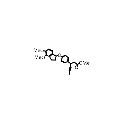 CC#CC(CC(=O)OC)c1ccc(OC2CCc3c2ccc(OC)c3OC)cc1